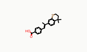 CC(=Cc1ccc(C(=O)O)cc1)c1ccc2c(c1)SCCC2(C)C